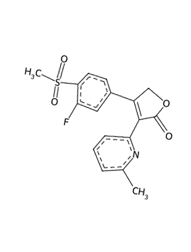 Cc1cccc(C2=C(c3ccc(S(C)(=O)=O)c(F)c3)COC2=O)n1